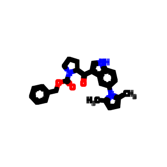 Cc1ccc(C)n1-c1ccc2[nH]cc(C(=O)C3CCCN3C(=O)OCc3ccccc3)c2c1